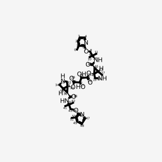 Cc1cccnc1OCC(C)(C)NC(=O)[C@H]1[C@@H]2CNC[C@]21OC(=O)C(O)C(O)C(=O)O[C@@]12CNC[C@H]1[C@@H]2C(=O)NC(C)(C)COc1ncccc1C